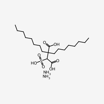 CCCCCCCCC(CCCCCCCC)(C(=O)O)C(C(=O)O)S(=O)(=O)O.N.N